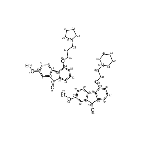 CCOc1ccc2c(c1)C(=O)c1cccc(OCCCN3CCCC3)c1-2.CCOc1ccc2c(c1)C(=O)c1cccc(OCCN3CCCCC3)c1-2